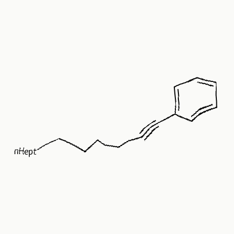 [CH2]CCCCCCCCCCC#Cc1ccccc1